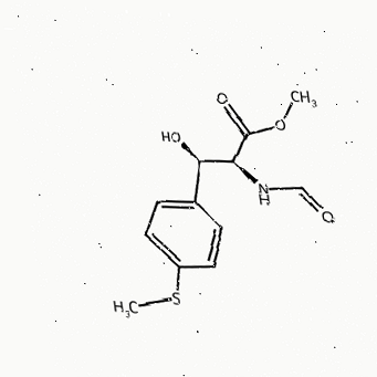 COC(=O)[C@@H](NC=O)[C@H](O)c1ccc(SC)cc1